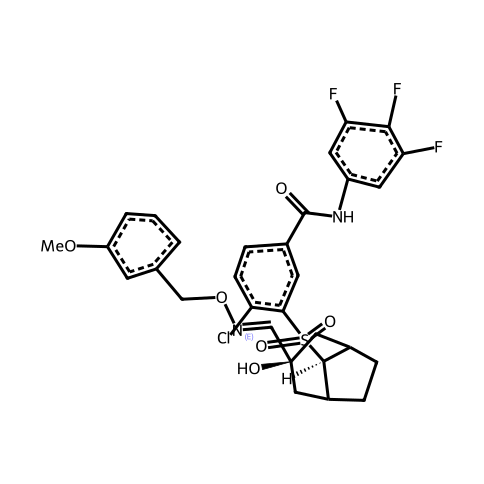 COc1cccc(CO/N=C/[C@]2(O)CC3CCC(C2)[C@H]3S(=O)(=O)c2cc(C(=O)Nc3cc(F)c(F)c(F)c3)ccc2Cl)c1